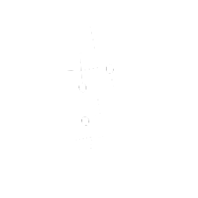 CCC(C)(C)OCC(COC)OC(C)(C)CC(C)C